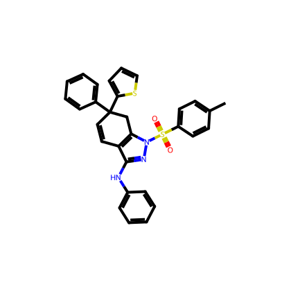 Cc1ccc(S(=O)(=O)n2nc(Nc3ccccc3)c3c2CC(c2ccccc2)(c2cccs2)C=C3)cc1